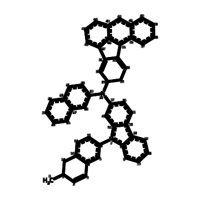 CC1C=Cc2cc(-n3c4ccccc4c4ccc(N(c5ccc6ccccc6c5)C5C=C6C(=CC5)c5c7ccccc7cc7cccc6c57)cc43)ccc2C1